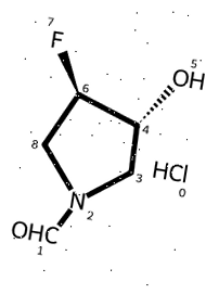 Cl.O=CN1C[C@@H](O)[C@H](F)C1